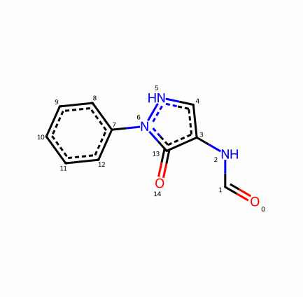 O=CNc1c[nH]n(-c2ccccc2)c1=O